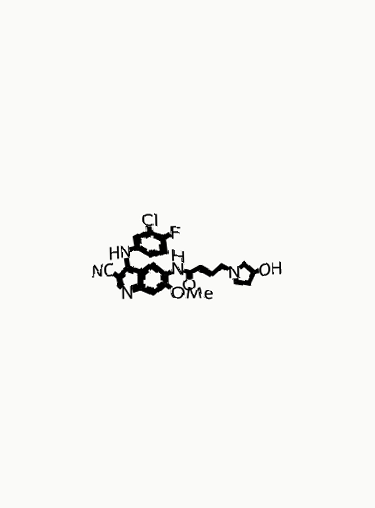 COc1cc2ncc(C#N)c(Nc3ccc(F)c(Cl)c3)c2cc1NC(=O)C=CCN1CCC(O)C1